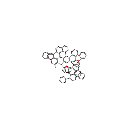 Cc1cc2c(c(-c3c(-c4ccccc4-c4ccccc4)ccc4c3-c3c(c(N(c5ccccc5-c5ccccc5)c5c(C)c(C)cc6c5Cc5ccccc5-6)c(-c5ccccc5)c(-c5ccccc5)c3-c3c5c(cc(-c6ccccc6)c3-c3ccccc3)-c3ccccc3C5)C4)c1C)Cc1ccccc1-2